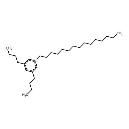 CCCCCCCCCCCCCCC[n+]1cc(CCCC)cc(CCCC)c1